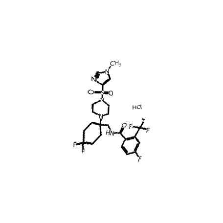 Cl.Cn1cnc(S(=O)(=O)N2CCN(C3(CNC(=O)c4ccc(F)cc4C(F)(F)F)CCC(F)(F)CC3)CC2)c1